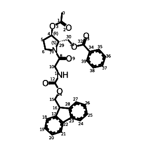 CC(=O)O[C@@H]1CCN(C(=O)CNC(=O)OCC2c3ccccc3-c3ccccc32)[C@H]1COC(=O)c1ccccc1